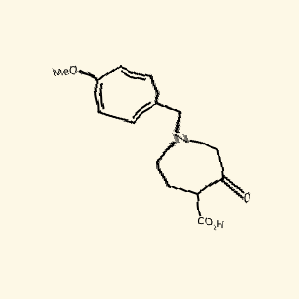 COc1ccc(CN2CCC(C(=O)O)C(=O)C2)cc1